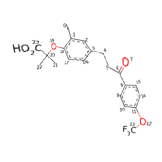 Cc1cc(CCC(=O)c2ccc(OC(F)(F)F)cc2)ccc1OC(C)(C)C(=O)O